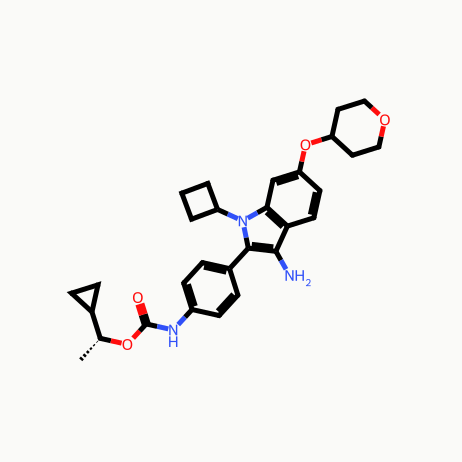 C[C@@H](OC(=O)Nc1ccc(-c2c(N)c3ccc(OC4CCOCC4)cc3n2C2CCC2)cc1)C1CC1